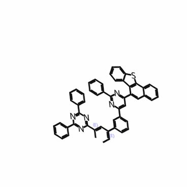 C/C=C(\C=C(/C)c1nc(-c2ccccc2)nc(-c2ccccc2)n1)c1cccc(-c2cc(-c3cc4ccccc4c4sc5ccccc5c34)nc(-c3ccccc3)n2)c1